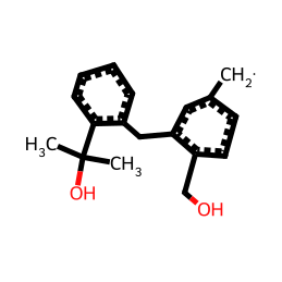 [CH2]c1ccc(CO)c(Cc2ccccc2C(C)(C)O)c1